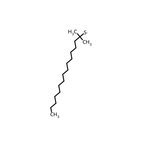 CCCCCCCCCCCCCCC(C)(C)[S]